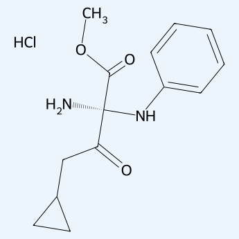 COC(=O)[C@@](N)(Nc1ccccc1)C(=O)CC1CC1.Cl